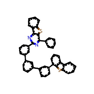 c1ccc(-c2nc(-c3cccc(-c4cccc(-c5cccc(-c6cccc7c6sc6ccccc67)c5)c4)c3)nc3c2sc2ccccc23)cc1